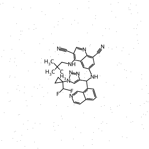 CC(C)(C)CNc1c(C#N)cnc2c(C#N)cc(NC(c3cn(C4(C(F)F)CC4)nn3)c3cccc4ccncc34)cc12